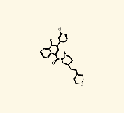 O=C(O)c1c(CN2CCC(CCN3CCOCC3)CC2)n(-c2cccc(Cl)c2)c(=O)c2ccccc12